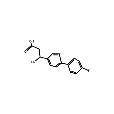 NC(CC(=O)O)c1ccc(-c2ccc(F)cc2)cc1